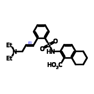 CCN(CC)C/C=C/c1ccccc1S(=O)(=O)Nc1ccc2c(c1C(=O)O)CCCC2